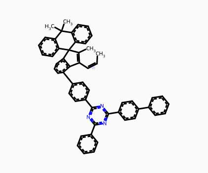 C/C=C\C1=C(C)C2(c3ccccc3C(C)(C)c3ccccc32)c2cccc(-c3ccc(-c4nc(-c5ccccc5)nc(-c5ccc(-c6ccccc6)cc5)n4)cc3)c21